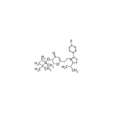 CC(C)c1ccc(-c2ccc(F)cc2)n1CCC1=CC(=O)C(O[Si](C)(C)C(C)(C)C)CO1